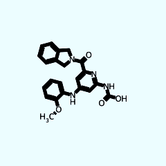 COc1ccccc1Nc1cc(NC(=O)O)nc(C(=O)N2Cc3ccccc3C2)c1